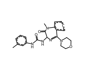 Cc1cccc(NC(=O)NC2N=C(N3CCOCC3)c3ccccc3N(C)C2=O)c1